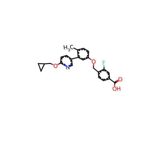 Cc1ccc(OCc2ccc(C(=O)O)cc2F)cc1-c1ccc(OCC2CC2)nc1